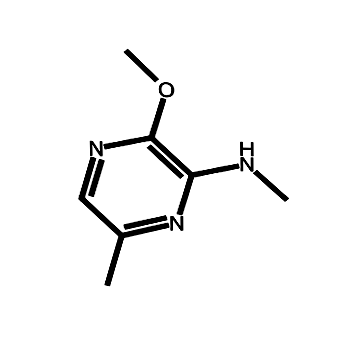 CNc1nc(C)cnc1OC